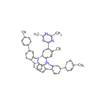 Cc1nc(C)nc(-c2cc(-n3c4ccccc4c4ccc(-c5ccc(C#N)cc5)cc43)c(-n3c4ccccc4c4ccc(-c5ccc(C#N)cc5)cc43)cc2C#N)n1